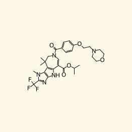 CC(C)OC(=O)C1=CN(C(=O)c2ccc(OCCN3CCOCC3)cc2)CC(C)(C)c2c1[nH]c1nc(C(F)(F)F)n(C)c21